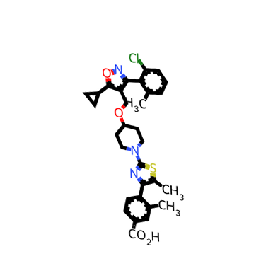 Cc1cc(C(=O)O)ccc1-c1nc(N2CCC(OCc3c(-c4c(C)cccc4Cl)noc3C3CC3)CC2)sc1C